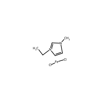 CC[n+]1ccn(C)c1.[Cl][Fe][Cl]